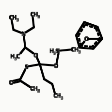 CCCC(O[SiH2]C)(OC(C)N(CC)CC)SC(C)=O.c1cc2cc(c1)O2